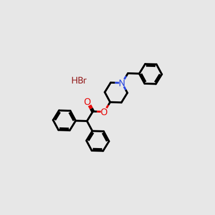 Br.O=C(OC1CCN(Cc2ccccc2)CC1)C(c1ccccc1)c1ccccc1